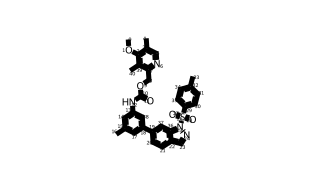 COc1c(C)cnc(COC(=O)Nc2cc(C)cc(-c3ccc4cnn(S(=O)(=O)c5ccc(C)cc5)c4c3)c2)c1C